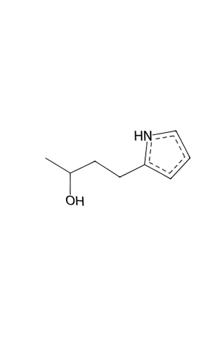 CC(O)CCc1ccc[nH]1